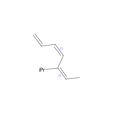 C=C/C=C\C(=C/C)C(C)C